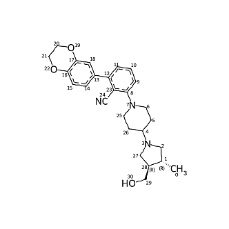 C[C@H]1CN(C2CCN(c3cccc(-c4ccc5c(c4)OCCO5)c3C#N)CC2)C[C@@H]1CO